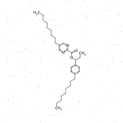 CCCCCCCCCc1ccc(C(CC)OC(=O)c2ncc(CCCCCCCCC)cn2)cc1